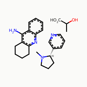 CC(O)C(=O)O.CN1CCC[C@H]1c1cccnc1.Nc1c2c(nc3ccccc13)CCCC2